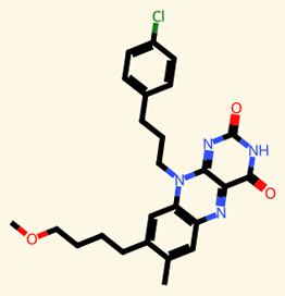 COCCCCc1cc2c(cc1C)nc1c(=O)[nH]c(=O)nc-1n2CCCc1ccc(Cl)cc1